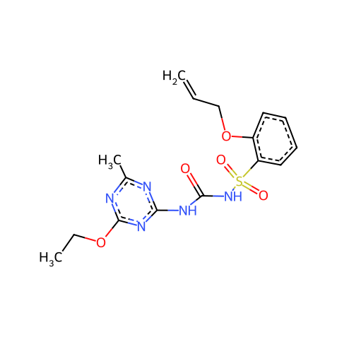 C=CCOc1ccccc1S(=O)(=O)NC(=O)Nc1nc(C)nc(OCC)n1